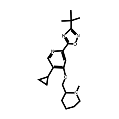 CN1CCCCC1COc1cc(-c2nc(C(C)(C)C)no2)ncc1C1CC1